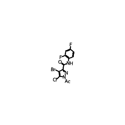 CC(=O)n1nc(C(=O)Nc2ccc(F)cc2F)c(Br)c1Cl